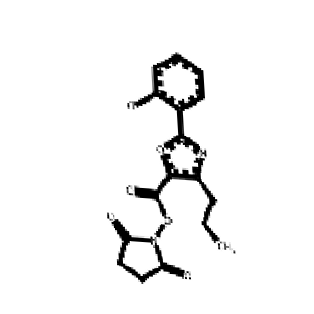 CCCc1nc(-c2ccccc2Cl)oc1C(=O)ON1C(=O)CCC1=O